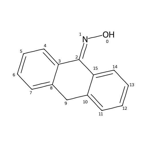 ON=C1c2ccccc2Cc2ccccc21